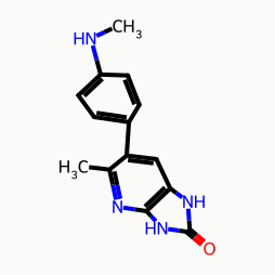 CNc1ccc(-c2cc3[nH]c(=O)[nH]c3nc2C)cc1